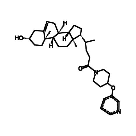 CC(CCC(=O)N1CCC(Oc2cccnc2)CC1)[C@H]1CC[C@H]2[C@@H]3CC=C4C[C@@H](O)CC[C@]4(C)[C@H]3CC[C@]12C